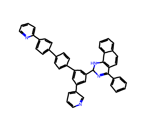 c1ccc(C2=NC(c3cc(-c4ccc(-c5ccc(-c6ccccn6)cc5)cc4)cc(-c4cccnc4)c3)Nc3c2ccc2ccccc32)cc1